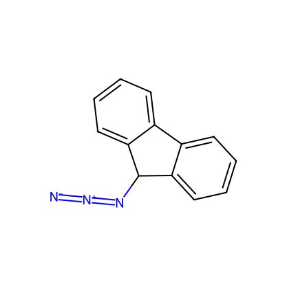 [N-]=[N+]=NC1c2ccccc2-c2ccccc21